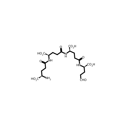 N[C@H](CCC(=O)N[C@H](CCC(=O)N[C@H](CCC(=O)N[C@H](CCC=O)C(=O)O)C(=O)O)C(=O)O)C(=O)O